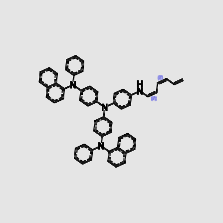 C=C/C=C\C=C/Nc1ccc(N(c2ccc(N(c3ccccc3)c3cccc4ccccc34)cc2)c2ccc(N(c3ccccc3)c3cccc4ccccc34)cc2)cc1